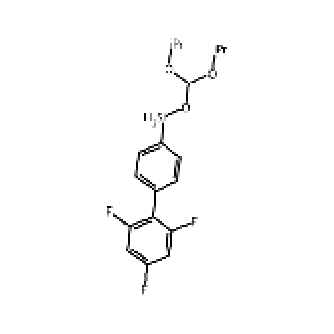 CC(C)OC(O[SiH2]c1ccc(-c2c(F)cc(F)cc2F)cc1)OC(C)C